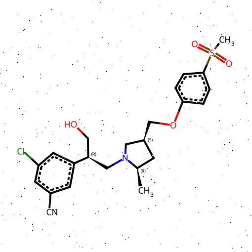 C[C@@H]1C[C@H](COc2ccc(S(C)(=O)=O)cc2)CN1C[C@H](CO)c1cc(Cl)cc(C#N)c1